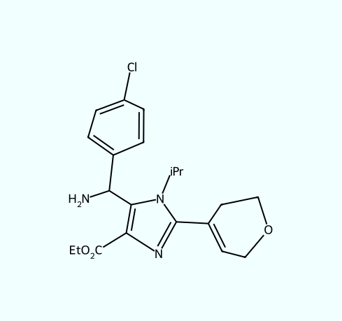 CCOC(=O)c1nc(C2=CCOCC2)n(C(C)C)c1C(N)c1ccc(Cl)cc1